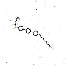 CCCCCCCC[C@H]1CC[C@H](c2ccc(-c3ccc(C(F)C(F)(F)CCC)cc3)cc2)CC1